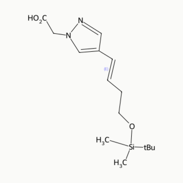 CC(C)(C)[Si](C)(C)OCC/C=C/c1cnn(CC(=O)O)c1